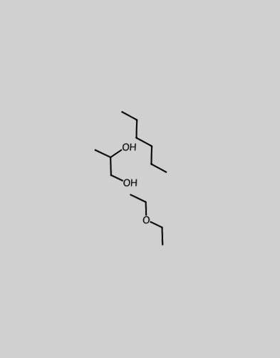 CC(O)CO.CCCCCC.CCOCC